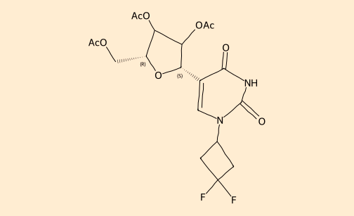 CC(=O)OC[C@H]1O[C@@H](c2cn(C3CC(F)(F)C3)c(=O)[nH]c2=O)C(OC(C)=O)C1OC(C)=O